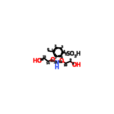 Cc1ccc(S(=O)(=O)O)cc1.OCCONOCCO